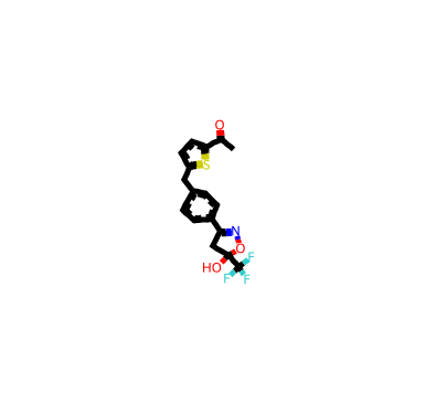 CC(=O)c1ccc(Cc2ccc(C3=NOC(O)(C(F)(F)F)C3)cc2)s1